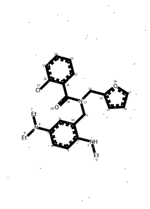 CCNc1ccc(N(CC)CC)cc1CN(Cc1ccco1)C(=O)c1ccccc1Cl